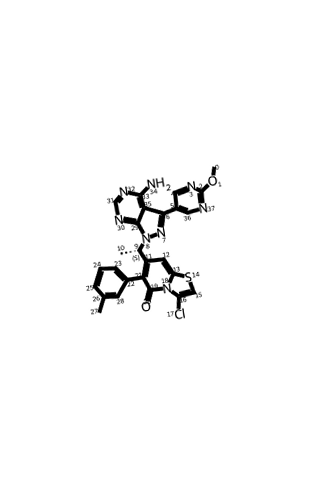 COc1ncc(-c2nn([C@@H](C)c3cc4scc(Cl)n4c(=O)c3-c3cccc(C)c3)c3ncnc(N)c23)cn1